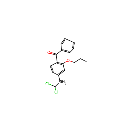 CCCOc1cc([SiH2]C(Cl)Cl)ccc1C(=O)c1ccccc1